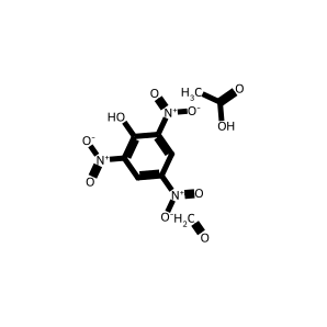 C=O.CC(=O)O.O=[N+]([O-])c1cc([N+](=O)[O-])c(O)c([N+](=O)[O-])c1